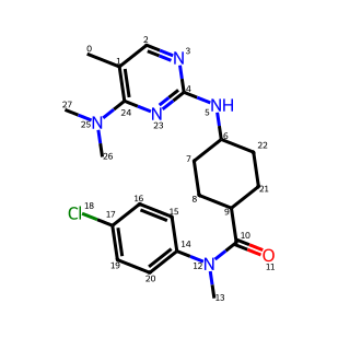 Cc1cnc(NC2CCC(C(=O)N(C)c3ccc(Cl)cc3)CC2)nc1N(C)C